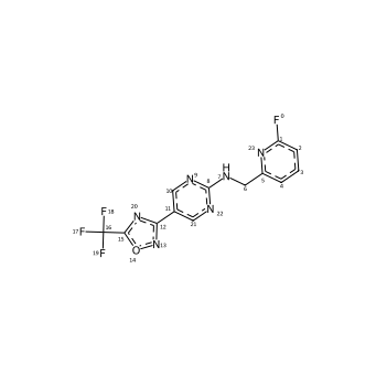 Fc1cccc(CNc2ncc(-c3noc(C(F)(F)F)n3)cn2)n1